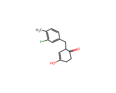 Cc1ccc(CC2C=C(O)CCC2=O)cc1F